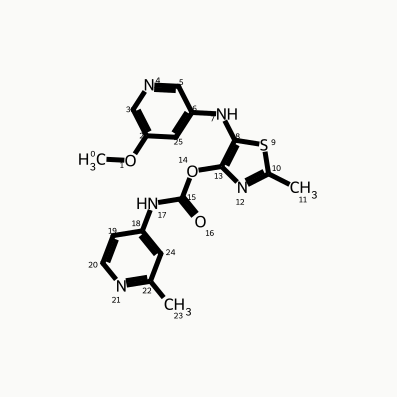 COc1cncc(Nc2sc(C)nc2OC(=O)Nc2ccnc(C)c2)c1